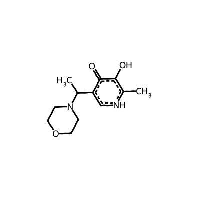 Cc1[nH]cc(C(C)N2CCOCC2)c(=O)c1O